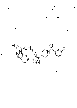 CC(C)n1ncc2ccc(-c3nc(C4CCN(C(=O)c5cccc(F)c5)CC4)no3)cc21